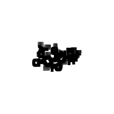 COc1nc(C(F)(F)C(F)(F)F)cc(=O)n1-c1cc(OC(C)C)c(Cl)cc1F